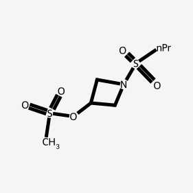 CCCS(=O)(=O)N1CC(OS(C)(=O)=O)C1